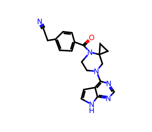 N#CCc1ccc(C(=O)N2CCN(c3ncnc4[nH]ccc34)CC23CC3)cc1